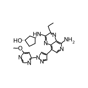 CCc1nc2c(N)ncc(-c3cnn(-c4cc(OC)ncn4)c3)c2nc1N[C@@H]1CC[C@H](O)C1